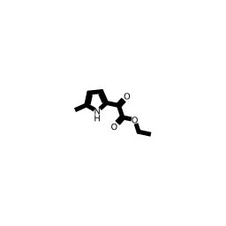 CCOC(=O)C(=O)c1ccc(C)[nH]1